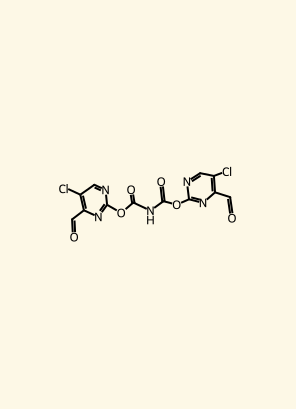 O=Cc1nc(OC(=O)NC(=O)Oc2ncc(Cl)c(C=O)n2)ncc1Cl